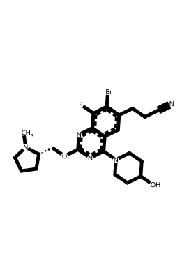 CN1CCC[C@H]1COc1nc(N2CCC(O)CC2)c2cc(CCC#N)c(Br)c(F)c2n1